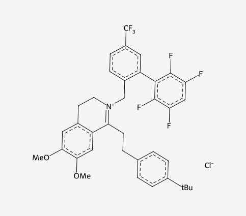 COc1cc2c(cc1OC)C(CCc1ccc(C(C)(C)C)cc1)=[N+](Cc1ccc(C(F)(F)F)cc1-c1c(F)c(F)cc(F)c1F)CC2.[Cl-]